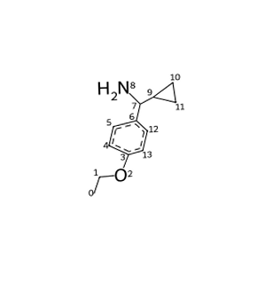 CCOc1ccc(C(N)C2CC2)cc1